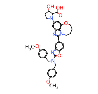 COc1ccc(CN(Cc2ccc(OC)cc2)c2nc3cc(-c4nc5cc(N6CCC(O)C6C(=O)O)cc6c5n4CCCCO6)ccc3o2)cc1